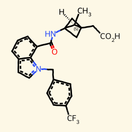 C[C@H]1C2(CC(=O)O)CC1(NC(=O)c1cccc3ccn(Cc4ccc(C(F)(F)F)cc4)c13)C2